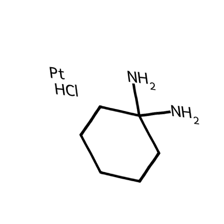 Cl.NC1(N)CCCCC1.[Pt]